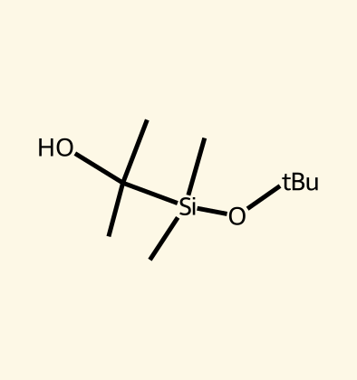 CC(C)(C)O[Si](C)(C)C(C)(C)O